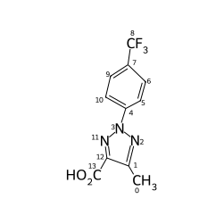 Cc1nn(-c2ccc(C(F)(F)F)cc2)nc1C(=O)O